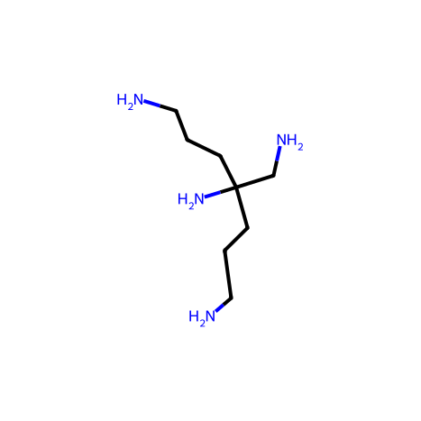 NCCCC(N)(CN)CCCN